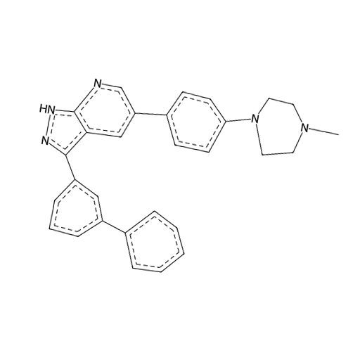 CN1CCN(c2ccc(-c3cnc4[nH]nc(-c5cccc(-c6ccccc6)c5)c4c3)cc2)CC1